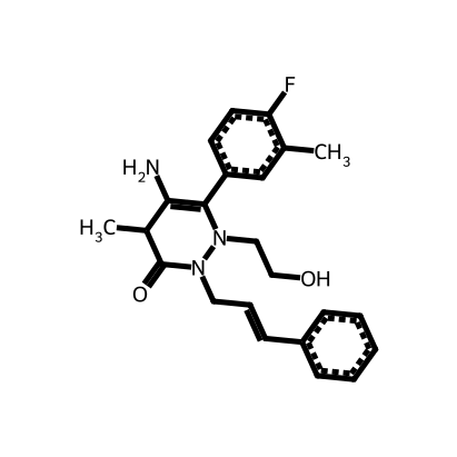 Cc1cc(C2=C(N)C(C)C(=O)N(CC=Cc3ccccc3)N2CCO)ccc1F